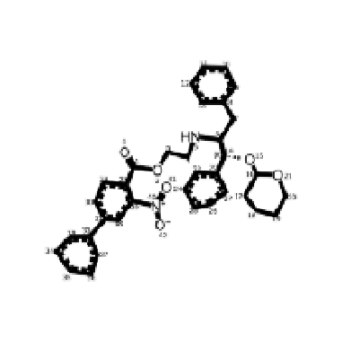 O=C(OCCNC(Cc1ccccc1)[C@H](OC1CCCCO1)c1ccccc1)c1ccc(-c2ccccc2)cc1[N+](=O)[O-]